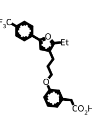 CCc1oc(-c2ccc(C(F)(F)F)cc2)cc1CCCOc1cccc(CC(=O)O)c1